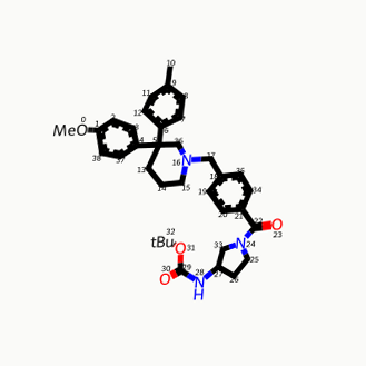 COc1ccc(C2(c3ccc(C)cc3)CCCN(Cc3ccc(C(=O)N4CCC(NC(=O)OC(C)(C)C)C4)cc3)C2)cc1